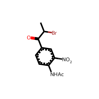 CC(=O)Nc1ccc(C(=O)C(C)Br)cc1[N+](=O)[O-]